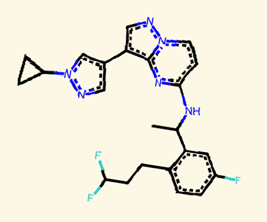 CC(Nc1ccn2ncc(-c3cnn(C4CC4)c3)c2n1)c1cc(F)ccc1CCC(F)F